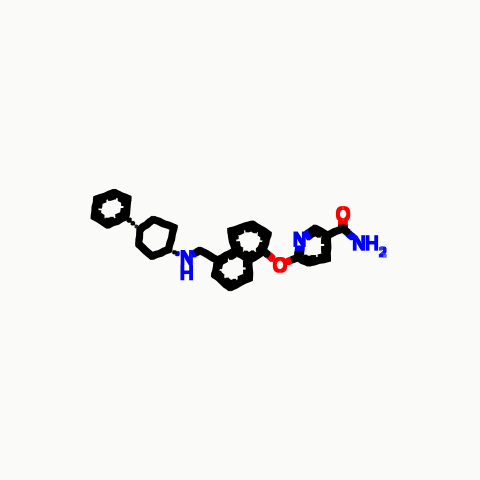 NC(=O)c1ccc(Oc2cccc3c(CN[C@H]4CC[C@@H](c5ccccc5)CC4)cccc23)nc1